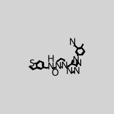 Cc1ccc(-n2cc3c(N4CCCN(C(=O)NCc5ccc6sccc6c5)C4)ncnc3n2)cc1C#N